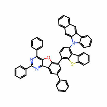 c1ccc(-c2cc(-c3ccc(-n4c5ccccc5c5cc6ccccc6cc54)c4c3sc3ccccc34)c3oc4c(-c5ccccc5)nc(-c5ccccc5)nc4c3c2)cc1